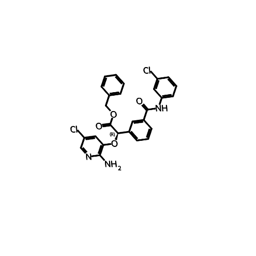 Nc1ncc(Cl)cc1O[C@@H](C(=O)OCc1ccccc1)c1cccc(C(=O)Nc2cccc(Cl)c2)c1